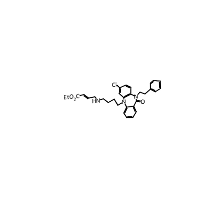 CCOC(=O)/C=C/CNCCCCN1c2ccccc2C(=O)N(CCc2ccccc2)c2ccc(Cl)cc21